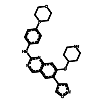 c1cc(N2CCOCC2)ccc1Nc1ncc2cc(-c3cnoc3)c(OC3CCNCC3)cc2n1